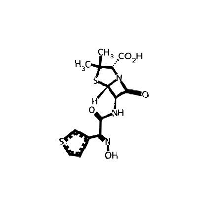 CC1(C)S[C@H]2[C@H](NC(=O)C(=NO)c3ccsc3)C(=O)N2[C@H]1C(=O)O